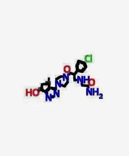 C[C@@H]1C[C@@H](O)c2ncnc(N3CCN(C(=O)C(CNCC(N)=O)c4ccc(Cl)cc4)CC3)c21